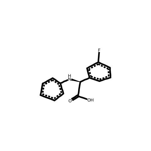 O=C(O)[C@@H](Nc1ccccc1)c1cccc(F)c1